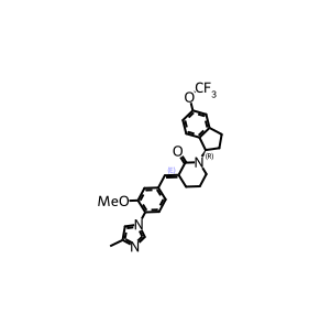 COc1cc(/C=C2\CCCN([C@@H]3CCc4cc(OC(F)(F)F)ccc43)C2=O)ccc1-n1cnc(C)c1